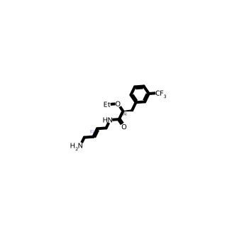 CCO[C@@H](Cc1cccc(C(F)(F)F)c1)C(=O)NC/C=C/CN